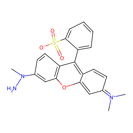 CN(N)c1ccc2c(-c3ccccc3S(=O)(=O)[O-])c3ccc(=[N+](C)C)cc-3oc2c1